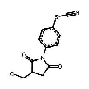 N#CSc1ccc(N2C(=O)CC(CCl)C2=O)cc1